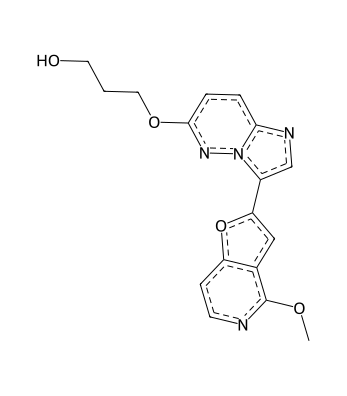 COc1nccc2oc(-c3cnc4ccc(OCCCO)nn34)cc12